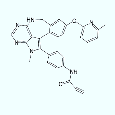 C#CC(=O)Nc1ccc(-c2c3c4c(ncnc4n2C)NCc2cc(Oc4cccc(C)n4)ccc2-3)cc1